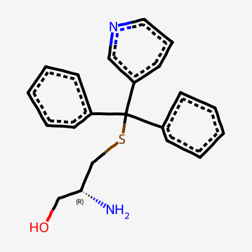 N[C@H](CO)CSC(c1ccccc1)(c1ccccc1)c1cccnc1